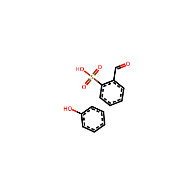 O=Cc1ccccc1S(=O)(=O)O.Oc1ccccc1